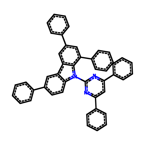 c1ccc(-c2ccc3c(c2)c2cc(-c4ccccc4)cc(-c4ccccc4)c2n3-c2nc(-c3ccccc3)cc(-c3ccccc3)n2)cc1